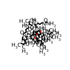 CCC(C)C(=O)C1CCN(C(=O)CCC(=O)NC(C(=O)N[C@@H](CCCNC(N)=O)C(=O)Nc2ccc(C[C@@H](CN)NC(=O)[C@H](C)[C@@H](OC)[C@@H]3CCCN3C(=O)C[C@@H](OC)[C@H]([C@@H](C)CC)N(C)C(=O)[C@@H](NC(=O)C(C(C)C)N(C)C)C(C)C)cc2)C(C)C)CC1